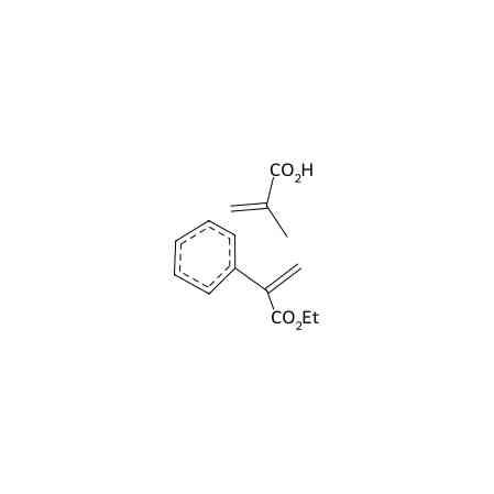 C=C(C(=O)OCC)c1ccccc1.C=C(C)C(=O)O